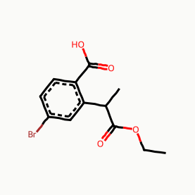 CCOC(=O)C(C)c1cc(Br)ccc1C(=O)O